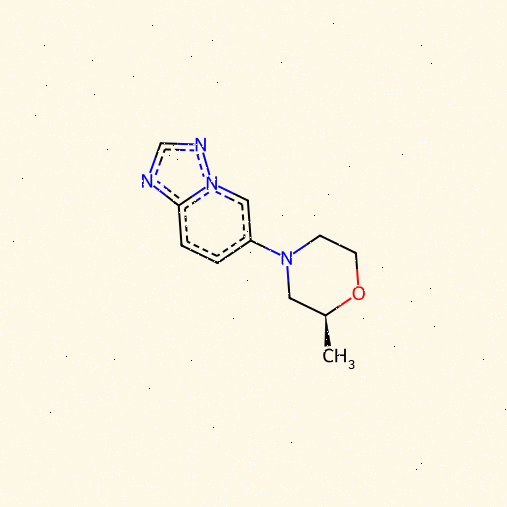 C[C@H]1CN(c2ccc3ncnn3c2)CCO1